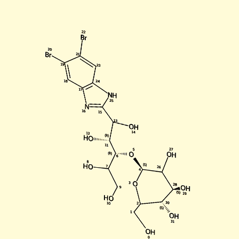 OCC1O[C@@H](O[C@H](C(O)CO)[C@H](O)C(O)c2nc3cc(Br)c(Br)cc3[nH]2)C(O)[C@@H](O)[C@@H]1O